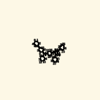 c1ccc(-c2ccc(N(c3ccccc3)c3ccc(-n4nc(-c5ccccc5)nc4-c4ccccc4)cc3)cc2)cc1